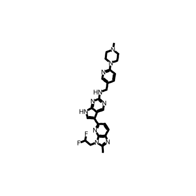 Cc1nc2ccc(-c3c[nH]c4nc(NCc5ccc(N6CCN(C)CC6)nc5)ncc34)nc2n1CC(F)F